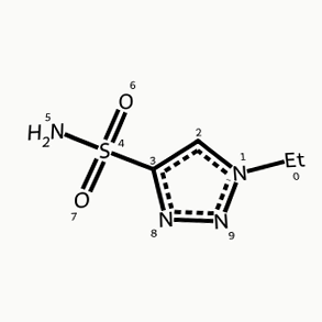 CCn1cc(S(N)(=O)=O)nn1